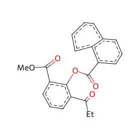 CCC(=O)c1cccc(C(=O)OC)c1OC(=O)c1cccc2ccccc12